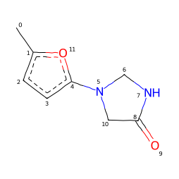 Cc1ccc(N2CNC(=O)C2)o1